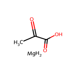 CC(=O)C(=O)O.[MgH2]